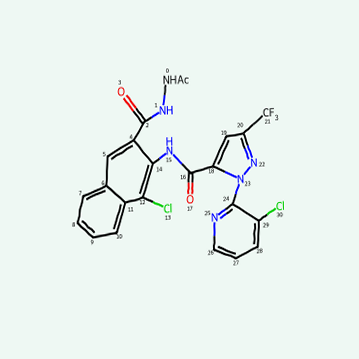 CC(=O)NNC(=O)c1cc2ccccc2c(Cl)c1NC(=O)c1cc(C(F)(F)F)nn1-c1ncccc1Cl